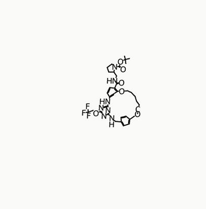 CC(C)(C)OC(=O)N1CCCC1CNC(=O)c1ccc2cc1OCCCCCCOc1ccc(cc1)CNc1nc(nc(OCC(F)(F)F)n1)N2